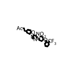 CC(=O)CCc1ccc(Oc2ncnc(N3CCC(Oc4ccccc4C(F)(F)F)CC3)c2[N+](=O)[O-])cc1